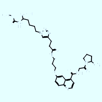 CC(C)(C)OC(=O)NC(CCCCn1cc(CCC(=O)NCCCOc2ccc3nccc(C(=O)NCC(=O)N4CCCC4C#N)c3c2)nn1)C(=O)O